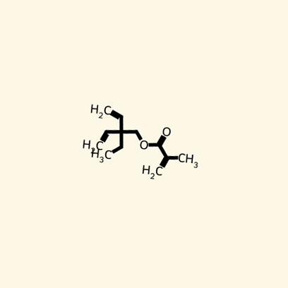 C=CC(C=C)(CC)COC(=O)C(=C)C